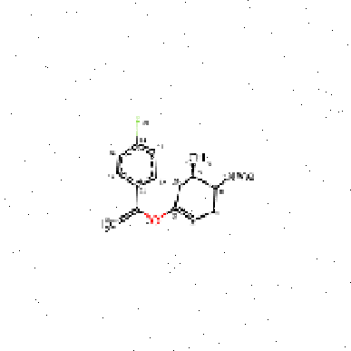 C=C(OC1=CCC(NC)[C@H](C)C1)c1ccc(F)cc1